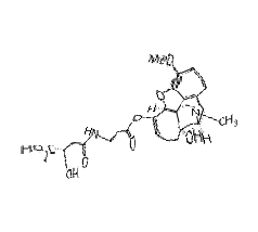 COc1ccc2c3c1O[C@@H]1C(OC(=O)CCNC(=O)C[C@H](O)C(=O)O)=CC[C@]4(O)[C@H](C2)N(C)CC[C@@]314